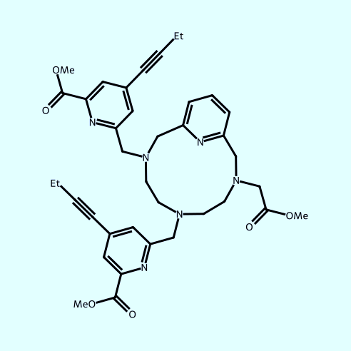 CCC#Cc1cc(CN2CCN(CC(=O)OC)Cc3cccc(n3)CN(Cc3cc(C#CCC)cc(C(=O)OC)n3)CC2)nc(C(=O)OC)c1